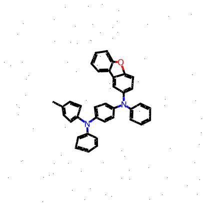 Cc1ccc(N(c2ccccc2)c2ccc(N(c3ccccc3)c3ccc4oc5ccccc5c4c3)cc2)cc1